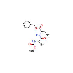 CC(C)CC(NC(=O)C(NC(=O)OC(C)(C)C)C(C)C)C(=O)OCc1ccccc1